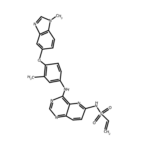 C=CS(=O)(=O)Nc1ccc2ncnc(Nc3ccc(Oc4ccc5c(c4)ncn5C)c(C)c3)c2n1